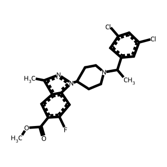 COC(=O)c1cc2c(C)nn(C3CCN(C(C)c4cc(Cl)cc(Cl)c4)CC3)c2cc1F